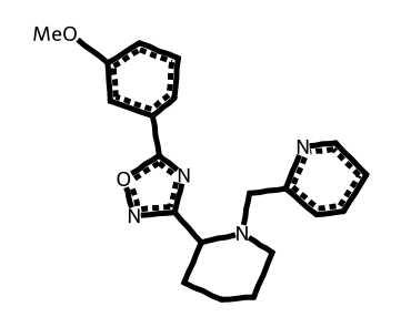 COc1cccc(-c2nc(C3CCCCN3Cc3ccccn3)no2)c1